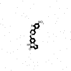 O=c1[nH]c2cc(CN3CC=C(c4ccc([N+](=O)[O-])cc4F)CC3)ccc2n2cccc12